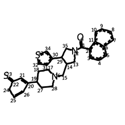 O=C(c1cccc2ccccc12)N1CC(CN2CCC(C3=CC(=S)CC=C3)CC2)C(c2ccsc2)C1